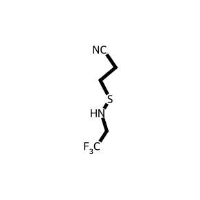 N#CCCSNCC(F)(F)F